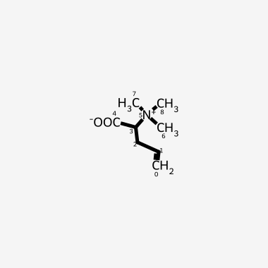 C=CCC(C(=O)[O-])[N+](C)(C)C